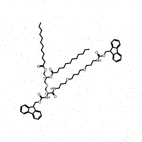 CCCCCCCCCCCC(=O)OC[C@H](CSC[C@H](NC(=O)OCC1c2ccccc2-c2ccccc21)C(=O)NCCCOCCCCOCCCNC(=O)OCC1c2ccccc2-c2ccccc21)OC(=O)CCCCCCCCCCC